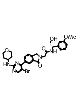 COc1cccc([C@@H](CO)NC(=O)CN2Cc3ccc(-c4nc(NC5CCOCC5)ncc4Br)cc3C2=O)c1